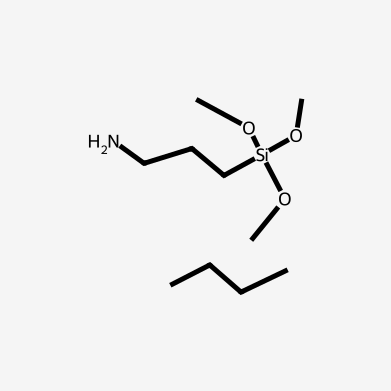 CCCC.CO[Si](CCCN)(OC)OC